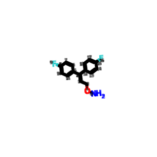 NOC[C]=C(c1ccc(F)cc1)c1ccc(F)cc1